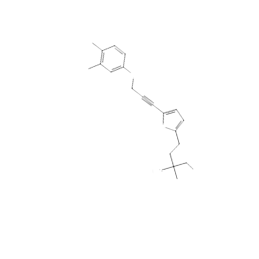 Cc1ccc(OCC#Cc2ccc(CCC(C)(N)CO)s2)cc1C